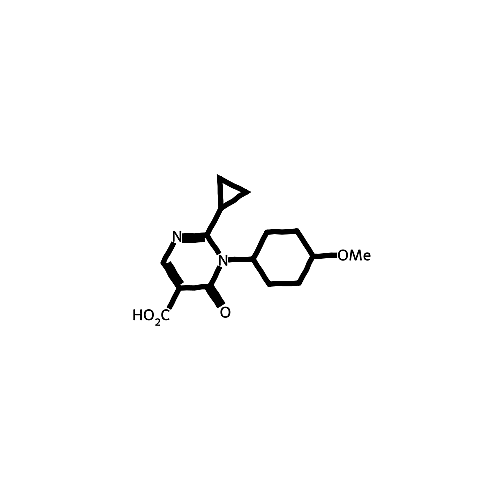 COC1CCC(n2c(C3CC3)ncc(C(=O)O)c2=O)CC1